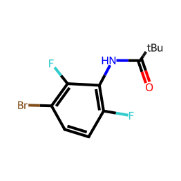 CC(C)(C)C(=O)Nc1c(F)ccc(Br)c1F